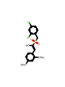 COc1ccc(/C=C(\C#N)S(=O)(=O)Cc2ccc(Cl)cc2Cl)c(OC)c1